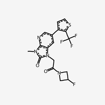 Cn1c(=O)n(CC(=O)N2CC(F)C2)c2cc(-c3ccsc3C(F)(F)F)cnc21